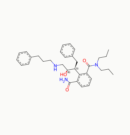 CCCN(CCC)C(=O)c1cccc(C(N)=O)c1[C@H](Cc1ccccc1)[C@@H](O)CNCCCc1ccccc1